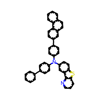 c1ccc(-c2ccc(N(c3ccc(-c4ccc5c(ccc6ccccc65)c4)cc3)c3ccc4sc5cccnc5c4c3)cc2)cc1